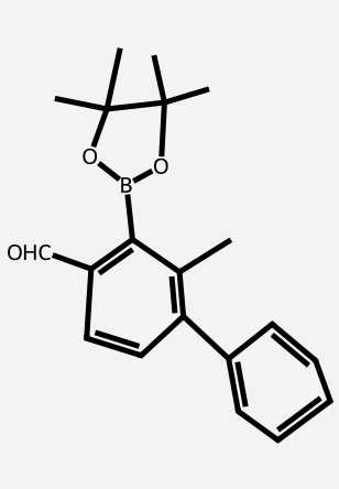 Cc1c(-c2ccccc2)ccc(C=O)c1B1OC(C)(C)C(C)(C)O1